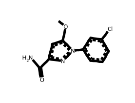 COc1cc(C(N)=O)nn1-c1cccc(Cl)c1